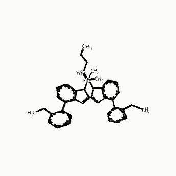 CCC[SiH]=[Hf]([CH3])([CH3])([CH]1C=Cc2c(-c3ccccc3CC)cccc21)[CH]1C=Cc2c(-c3ccccc3CC)cccc21